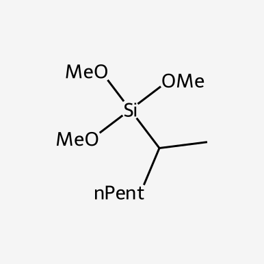 CCCCCC(C)[Si](OC)(OC)OC